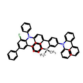 C[Si]1(C)c2cc(N(c3ccccc3)c3ccccc3-c3ccccc3)ccc2-c2ccc(N(c3ccccc3)c3c(F)cc(-c4ccccc4)cc3-c3ccccc3)c3cccc1c23